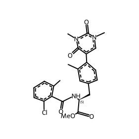 COC(=O)[C@H](Cc1ccc(-c2cn(C)c(=O)n(C)c2=O)c(C)c1)NC(=O)c1c(C)cccc1Cl